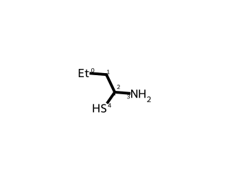 CCC[C](N)S